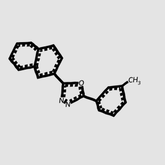 Cc1cccc(-c2nnc(-c3ccc4ccccc4c3)o2)c1